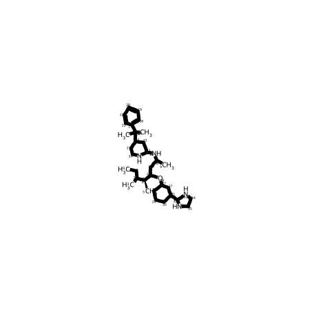 CCC(C)[C@H](C)C(CC(C)NC1CC(C(C)(C)c2ccccc2)CCN1)OC1CCCC(C2NCCN2)C1